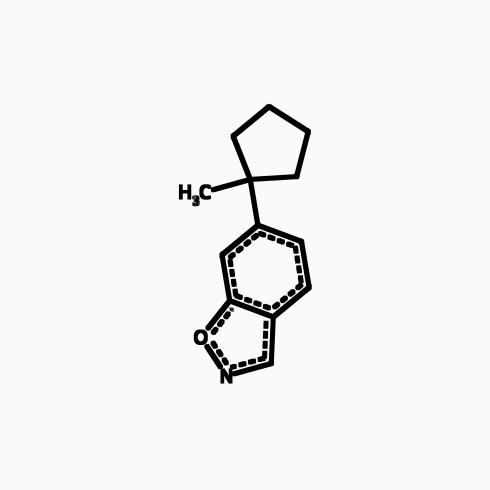 CC1(c2ccc3cnoc3c2)CCCC1